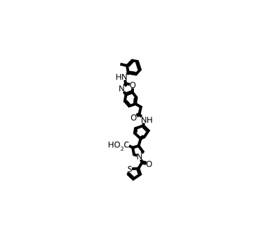 Cc1ccccc1Nc1nc2ccc(CC(=O)Nc3ccc(C4CN(C(=O)c5cccs5)CC4C(=O)O)cc3)cc2o1